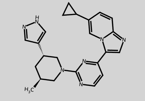 C[C@H]1C[C@H](c2cn[nH]c2)CN(c2nccc(-c3cnc4ccc(C5CC5)cn34)n2)C1